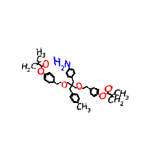 C=C(C)C(=O)Oc1ccc(CCOCC(COCCc2ccc(OC(=O)C(=C)C)cc2)(Cc2ccc(C)cc2)Cc2ccc(N)cc2)cc1